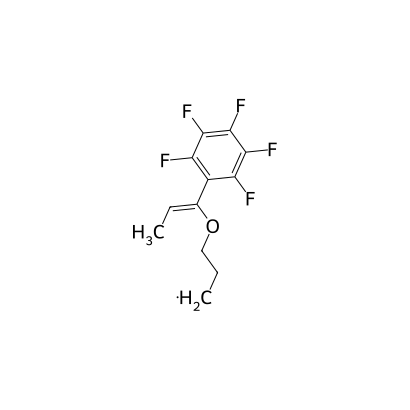 [CH2]CCOC(=CC)c1c(F)c(F)c(F)c(F)c1F